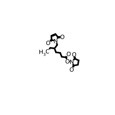 CCC(CCCC(=O)ON1C(=O)CCC1=O)CN1C(=O)C=CC1=O